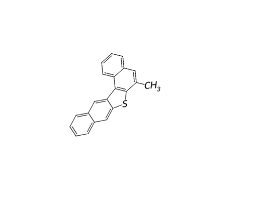 Cc1cc2ccccc2c2c1sc1cc3ccccc3cc12